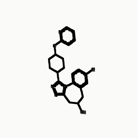 OC1Cc2cc(Cl)ccc2-n2c(nnc2C2CCC(Oc3ccccn3)CC2)C1